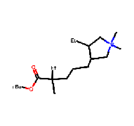 CCCCOC(=O)C(C)(CC)CCCC1C[N+](C)(C)CC1CC